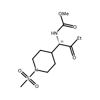 CCC(=O)[C@@H](NC(=O)OC)C1CCN(S(C)(=O)=O)CC1